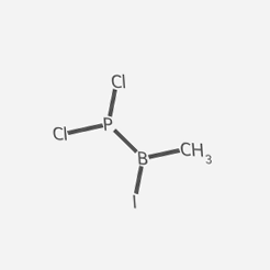 CB(I)P(Cl)Cl